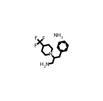 N.NCC(Cc1ccccc1)N1CCC(C(F)(F)F)CC1